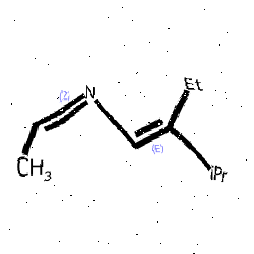 C/C=N\C=C(/CC)C(C)C